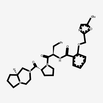 CC(C)C[C@@H](NC(=O)c1ccccc1OCc1ncc(C(C)(C)C)o1)C(=O)N1CCC[C@@H]1C(=O)N1CCN2CCC[C@H]2C1